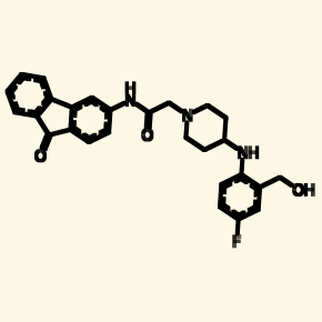 O=C(CN1CCC(Nc2ccc(F)cc2CO)CC1)Nc1ccc2c(c1)-c1ccccc1C2=O